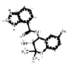 CC(=O)c1ccc2c(c1)[C@H](NC(=O)c1cccc3nonc13)[C@@H](O)C(C)(C)O2